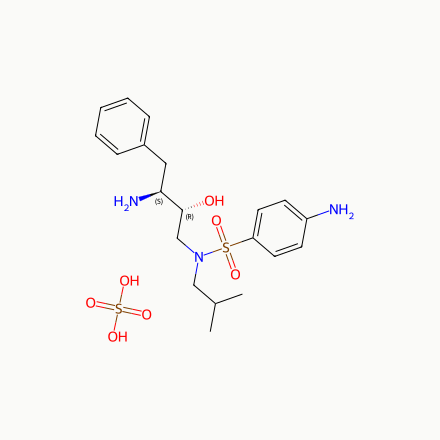 CC(C)CN(C[C@@H](O)[C@@H](N)Cc1ccccc1)S(=O)(=O)c1ccc(N)cc1.O=S(=O)(O)O